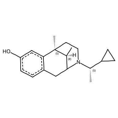 C[C@@H](C1CC1)N1CC[C@]2(C)c3cc(O)ccc3CC1[C@@H]2C